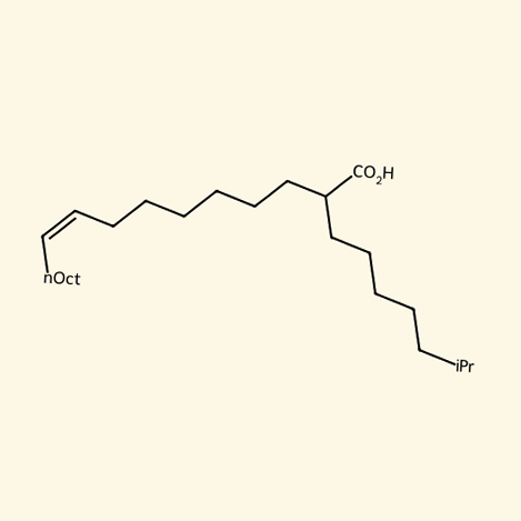 CCCCCCCC/C=C\CCCCCCC(CCCCCC(C)C)C(=O)O